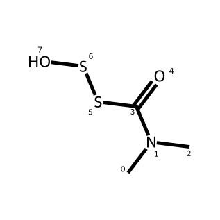 CN(C)C(=O)SSO